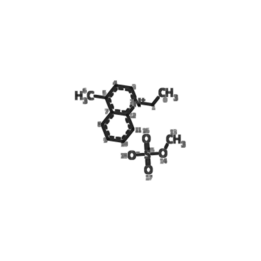 CC[n+]1ccc(C)c2ccccc21.COS(=O)(=O)[O-]